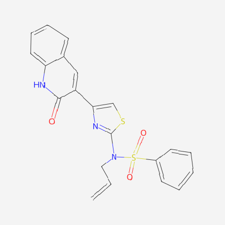 C=CCN(c1nc(-c2cc3ccccc3[nH]c2=O)cs1)S(=O)(=O)c1ccccc1